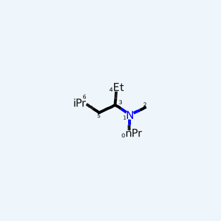 CCCN(C)C(CC)CC(C)C